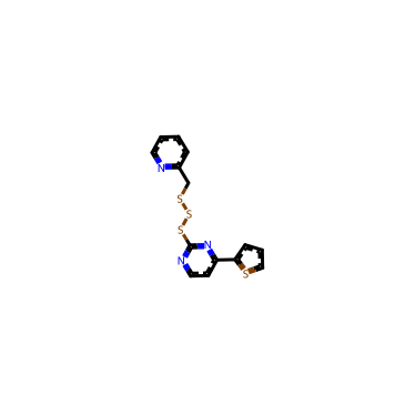 c1ccc(CSSSc2nccc(-c3cccs3)n2)nc1